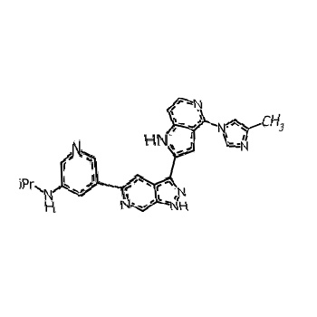 Cc1cn(-c2nccc3[nH]c(-c4n[nH]c5cnc(-c6cncc(NC(C)C)c6)cc45)cc23)cn1